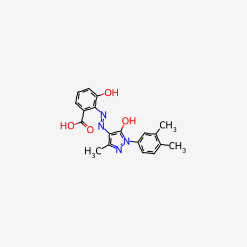 Cc1ccc(-n2nc(C)c(N=Nc3c(O)cccc3C(=O)O)c2O)cc1C